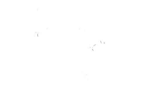 O=C(Nc1ccc(Cl)c(Cl)c1)N1N=CCC1c1ccccc1